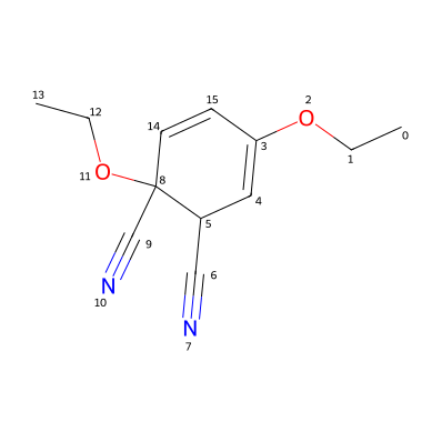 CCOC1=CC(C#N)C(C#N)(OCC)C=C1